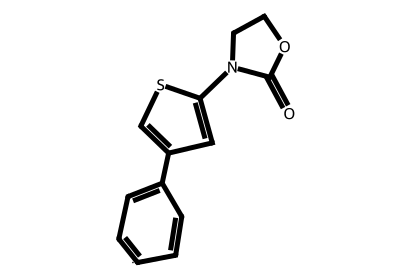 O=C1OCCN1c1cc(-c2cc[c]cc2)cs1